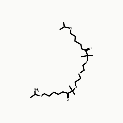 CC(C)OCCCCCC(=O)C(C)(C)OCCOCCOC(C)(C)C(=O)CCCCCOC(C)N